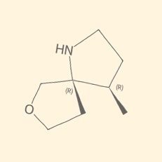 C[C@@H]1CCN[C@]12CCOC2